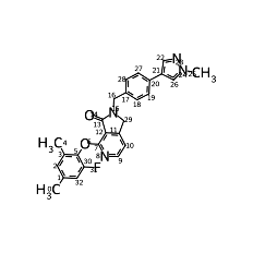 Cc1cc(C)c(Oc2nccc3c2C(=O)N(Cc2ccc(-c4cnn(C)c4)cc2)C3)c(F)c1